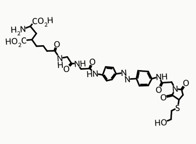 NC(CC(CCCC(=O)NCC(=O)NCC(=O)Nc1ccc(/N=N/c2ccc(NC(=O)CN3C(=O)CC(SCCO)C3=O)cc2)cc1)C(=O)O)C(=O)O